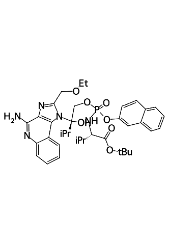 CCOCc1nc2c(N)nc3ccccc3c2n1[C@@](O)(COP(=O)(N[C@H](C(=O)OC(C)(C)C)C(C)C)Oc1ccc2ccccc2c1)C(C)C